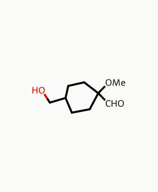 COC1(C=O)CCC(CO)CC1